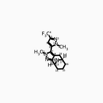 Cn1nc(C(F)(F)F)cc1-c1c2c(nn1C)[C@@H]1CCC[C@H](C2)N1